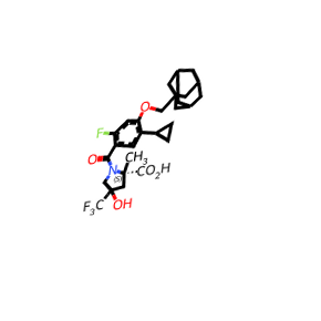 C[C@@]1(C(=O)O)CC(O)(C(F)(F)F)CN1C(=O)c1cc(C2CC2)c(OCC23CC4CC(CC(C4)C2)C3)cc1F